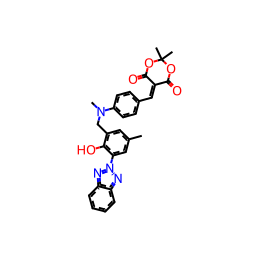 Cc1cc(CN(C)c2ccc(C=C3C(=O)OC(C)(C)OC3=O)cc2)c(O)c(-n2nc3ccccc3n2)c1